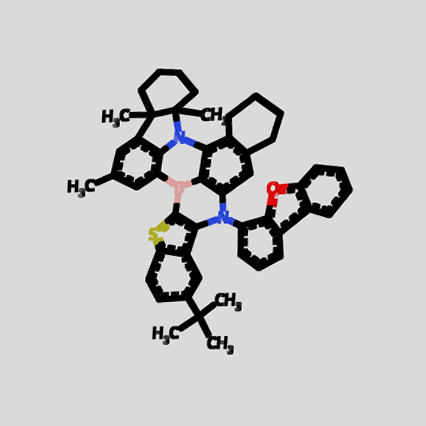 Cc1cc2c3c(c1)C1(C)CCCCC1(C)N3c1c3c(cc4c1B2c1sc2ccc(C(C)(C)C)cc2c1N4c1cccc2c1oc1ccccc12)CCCC3